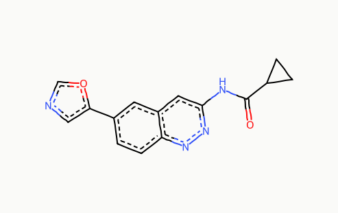 O=C(Nc1cc2cc(-c3cnco3)ccc2nn1)C1CC1